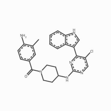 Cc1cc(C(=O)N2CCC(Nc3ncc(Cl)c(-c4c[nH]c5ccccc45)n3)CC2)ccc1N